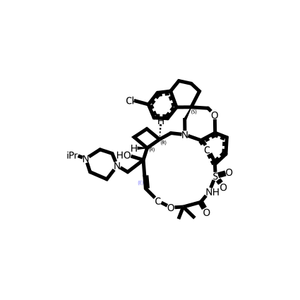 CC(C)N1CCN(CC2(O)/C=C/COC(C)(C)C(=O)NS(=O)(=O)c3ccc4c(c3)N(C[C@@H]3CC[C@H]32)C[C@@]2(CCCc3cc(Cl)ccc32)CO4)CC1